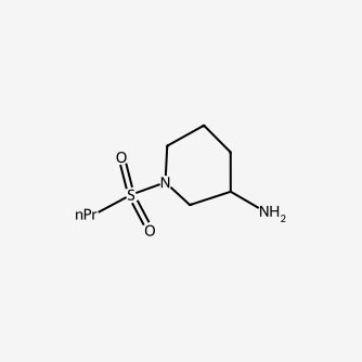 CCCS(=O)(=O)N1CCCC(N)C1